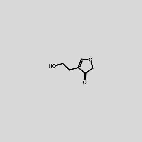 O=C1COC=C1CCO